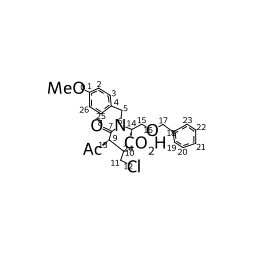 COc1ccc(CN(C(=O)[C@@H](CCCl)C(C)=O)[C@@H](COCc2ccccc2)C(=O)O)cc1